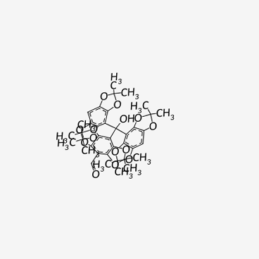 CC1(C)Oc2cc3c(c(C(O)(c4c5c(cc6c4OC(C)(C)O6)OC(C)(C)O5)c4c5c(c(C=O)c6c4OC(C)(C)O6)OC(C)(C)O5)c2O1)OC(C)(C)O3